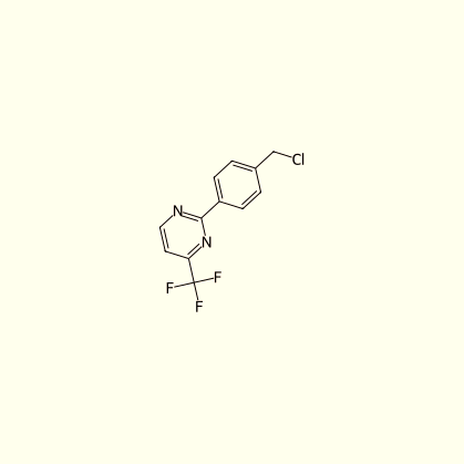 FC(F)(F)c1ccnc(-c2ccc(CCl)cc2)n1